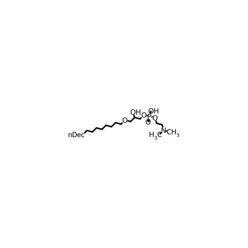 CCCCCCCCCCCCCCCCCCOCC(O)COP(=O)(O)OCCN(C)C